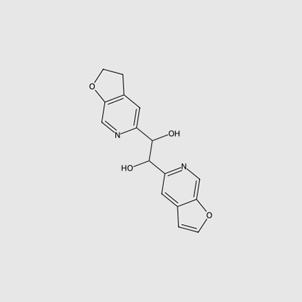 OC(c1cc2c(cn1)OCC2)C(O)c1cc2ccoc2cn1